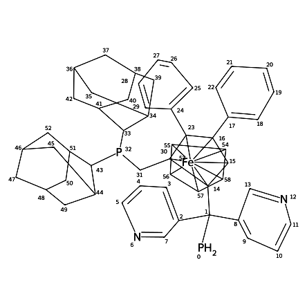 PC(c1cccnc1)(c1cccnc1)[C]12[CH]3[C]4(c5ccccc5)[C]5(c6ccccc6)[C]1(CP(C1C6CC7CC(C6)CC1C7)C1C6CC7CC(C6)CC1C7)[Fe]34521678[CH]2[CH]1[CH]6[CH]7[CH]28